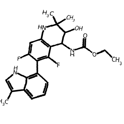 CCOC(=O)NC1c2c(cc(F)c(-c3cccc4c(C)c[nH]c34)c2F)NC(C)(C)C1O